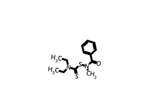 CCN(CC)C(=S)SN(C)C(=O)c1ccccc1